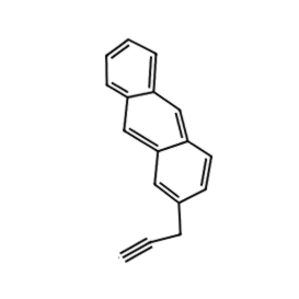 [C]#CCc1ccc2cc3ccccc3cc2c1